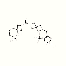 Cn1cc(CC2CC3(C2)CN(C(=O)N2CC4(CCCS(=O)(=O)N4)C2)C3)c(C(F)(F)F)n1